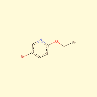 CC(C)COc1ccc(Br)cn1